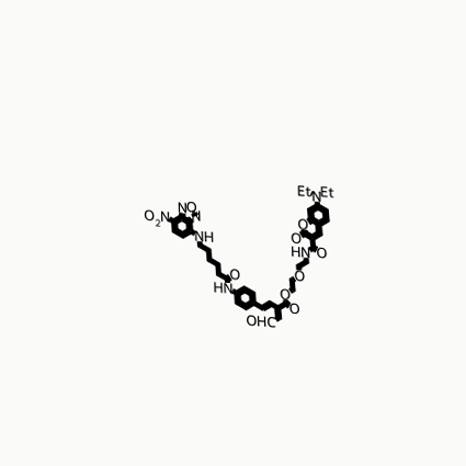 CCN(CC)c1ccc2cc(C(=O)NCCOCCOC(=O)C(/C=C/c3ccc(NC(=O)CCCCCNc4ccc([N+](=O)[O-])c5nonc45)cc3)=C/C=O)c(=O)oc2c1